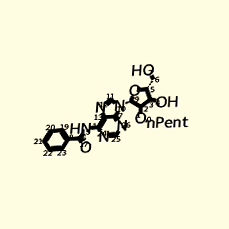 CCCCCOC1C(O)[C@@H](CO)O[C@H]1n1cnc2c(NC(=O)c3ccccc3)ncnc21